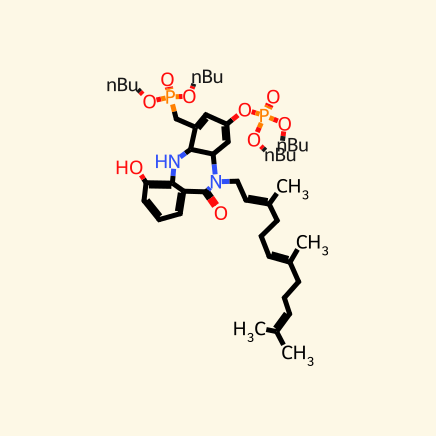 CCCCOP(=O)(CC1=CC(OP(=O)(OCCCC)OCCCC)=CC2C1Nc1c(O)cccc1C(=O)N2C/C=C(\C)CC/C=C(\C)CCC=C(C)C)OCCCC